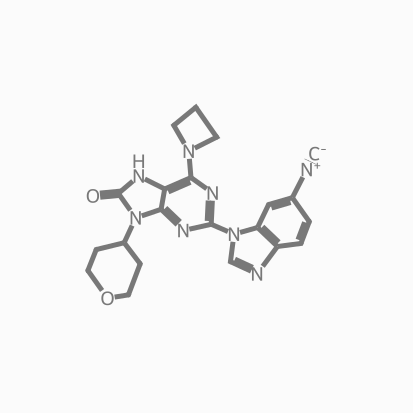 [C-]#[N+]c1ccc2ncn(-c3nc(N4CCC4)c4[nH]c(=O)n(C5CCOCC5)c4n3)c2c1